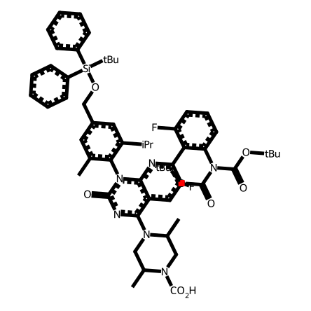 Cc1cc(CO[Si](c2ccccc2)(c2ccccc2)C(C)(C)C)cc(C(C)C)c1-n1c(=O)nc(N2CC(C)N(C(=O)O)CC2C)c2cc(F)c(-c3c(F)cccc3N(C(=O)OC(C)(C)C)C(=O)OC(C)(C)C)nc21